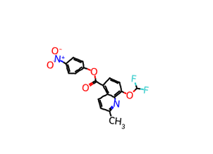 Cc1ccc2c(C(=O)Oc3ccc([N+](=O)[O-])cc3)ccc(OC(F)F)c2n1